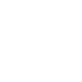 COC(=O)CCn1c(C(=O)OCc2ccccc2)c(C)c2cc(C)ccc21